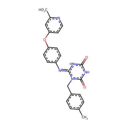 Cc1ccc(Cn2c(=O)[nH]c(=O)[nH]/c2=N\c2ccc(Oc3ccnc(C(=O)O)c3)cc2)cc1